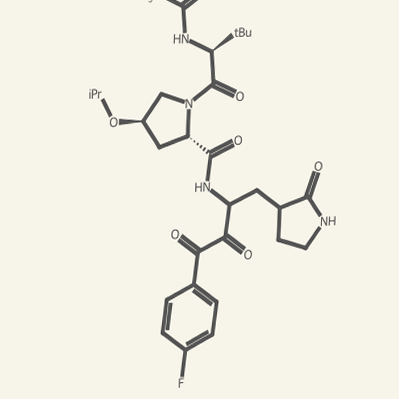 CC(C)O[C@@H]1C[C@@H](C(=O)NC(CC2CCNC2=O)C(=O)C(=O)c2ccc(F)cc2)N(C(=O)[C@@H](NC(=O)C(F)(F)F)C(C)(C)C)C1